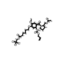 C=CCOC(=O)Nc1cc(OCCCCCC(=O)OCC(Cl)(Cl)Cl)c(OC)cc1C(=O)N1CCCC1COC(C)=O